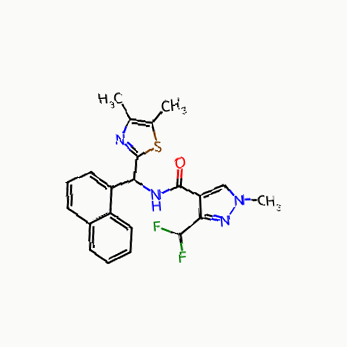 Cc1nc(C(NC(=O)c2cn(C)nc2C(F)F)c2cccc3ccccc23)sc1C